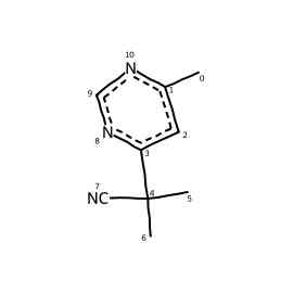 Cc1cc(C(C)(C)C#N)ncn1